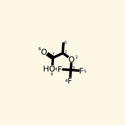 CC(OC(F)(F)F)C(=O)O